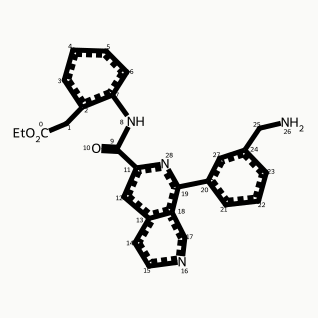 CCOC(=O)Cc1ccccc1NC(=O)c1cc2ccncc2c(-c2cccc(CN)c2)n1